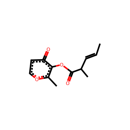 CC=CC(C)C(=O)Oc1c(C)occc1=O